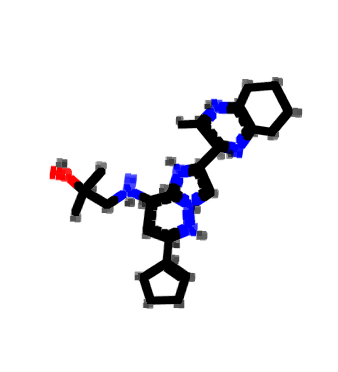 Cc1nc2c(nc1-c1cn3nc(C4=CCCC4)cc(NCC(C)(C)O)c3n1)CCCC2